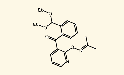 CCOC(OCC)c1ccccc1C(=O)c1cccnc1ON=C(C)C